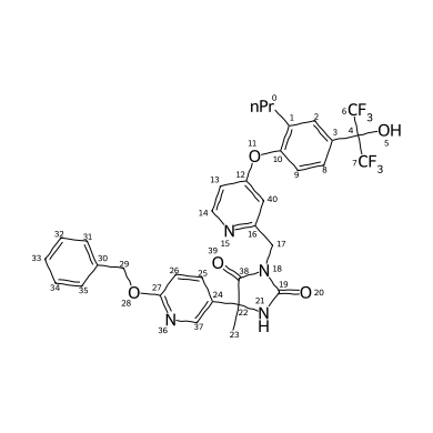 CCCc1cc(C(O)(C(F)(F)F)C(F)(F)F)ccc1Oc1ccnc(CN2C(=O)NC(C)(c3ccc(OCc4ccccc4)nc3)C2=O)c1